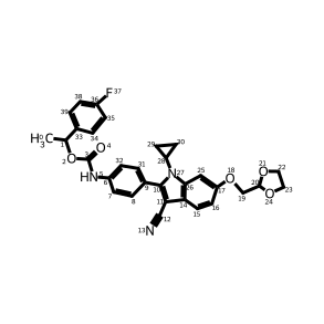 CC(OC(=O)Nc1ccc(-c2c(C#N)c3ccc(OCC4OCCO4)cc3n2C2CC2)cc1)c1ccc(F)cc1